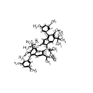 COc1c(C(C)(C)C)cc2c(c1-c1cc(C)cc(C)c1)C=C(C)[CH]2[Zr+2]([CH]1C(C(C)C)=Cc2c1cc(C(C)(C)C)c(OC)c2-c1cc(C)cc(C)c1)=[Si](C)C.[Cl-].[Cl-]